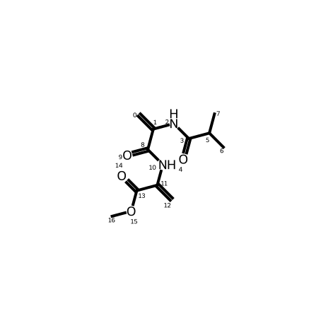 C=C(NC(=O)C(C)C)C(=O)NC(=C)C(=O)OC